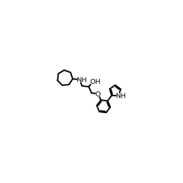 OC(CNC1CCCCCC1)COc1ccccc1-c1ccc[nH]1